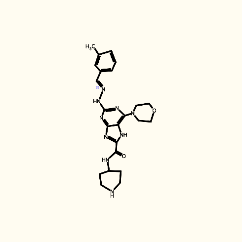 Cc1cccc(/C=N/Nc2nc(N3CCOCC3)c3[nH]c(C(=O)NC4CCNCC4)nc3n2)c1